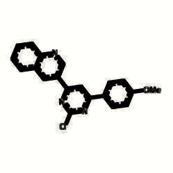 COc1ccc(-c2cc(-c3cnc4ccccc4c3)nc(Cl)n2)cc1